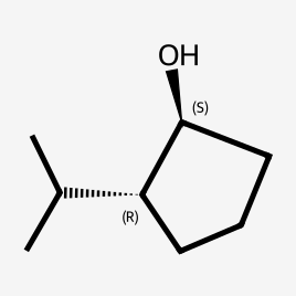 CC(C)[C@H]1CCC[C@@H]1O